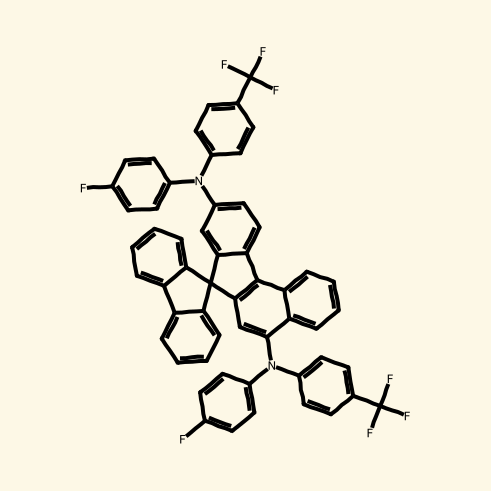 Fc1ccc(N(c2ccc(C(F)(F)F)cc2)c2ccc3c(c2)C2(c4ccccc4-c4ccccc42)c2cc(N(c4ccc(F)cc4)c4ccc(C(F)(F)F)cc4)c4ccccc4c2-3)cc1